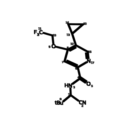 CC(C)(C)C(C#N)NC(=O)c1cc(OCC(F)(F)F)c(C2CC2)cn1